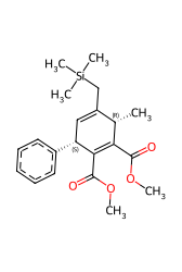 COC(=O)C1=C(C(=O)OC)[C@H](c2ccccc2)C=C(C[Si](C)(C)C)[C@@H]1C